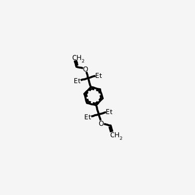 C=COC(CC)(CC)c1ccc(C(CC)(CC)OC=C)cc1